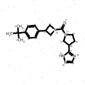 CC(C)(C)c1ccc(C2CN(C(=O)N3CCC(c4ncn[nH]4)C3)C2)cc1